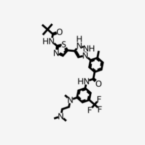 Cc1ccc(C(=O)Nc2cc(N(C)CCN(C)C)cc(C(F)(F)F)c2)cc1N1C=C(c2cnc(NC(=O)C(C)(C)C)s2)NN1